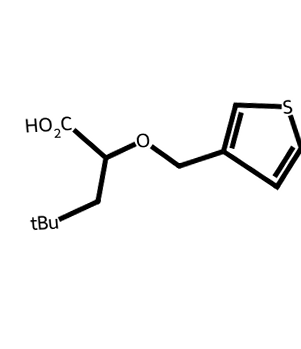 CC(C)(C)CC(OCc1ccsc1)C(=O)O